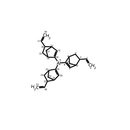 C=CC1CC2CC1C=[C]2[Al]([C]1=CC2CC1CC2C=C)[C]1=CC2CC1CC2C=C